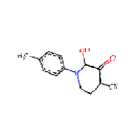 Cc1ccc(N2CCC(C#N)C(=O)C2O)cc1